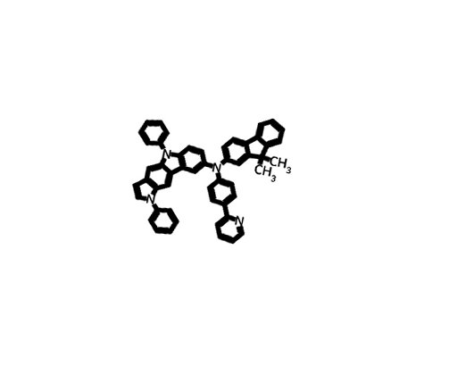 CC1(C)c2ccccc2-c2ccc(N(c3ccc(-c4ccccn4)cc3)c3ccc4c(c3)c3cc5c(ccn5-c5ccccc5)cc3n4-c3ccccc3)cc21